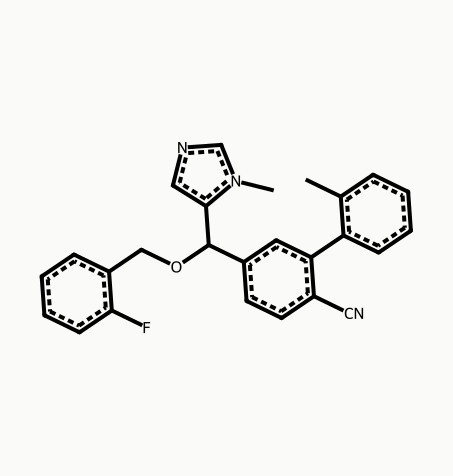 Cc1ccccc1-c1cc(C(OCc2ccccc2F)c2cncn2C)ccc1C#N